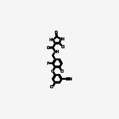 N#Cc1cc(Cl)cc(Oc2c(Cl)ccc(CNC(=O)c3[nH]c(=O)[nH]c3Cl)c2F)c1